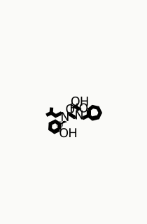 CC(C)CCN(CCN(CC(=O)O)CC1=C(O)CCCC=C1)C[C@@H]1CCCC=C1O